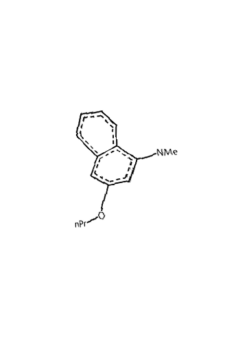 CCCOc1cc(NC)c2ccccc2c1